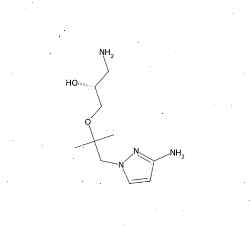 CC(C)(Cn1ccc(N)n1)OC[C@H](O)CN